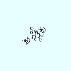 Cc1[nH]ncc1-c1cc2c(s1)C(=O)NC([C@H]1CC3CCN1CC3)N2OC(=O)C(F)(F)F